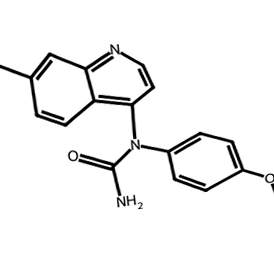 COc1ccc(N(C(N)=O)c2ccnc3cc(Cl)ccc23)cc1